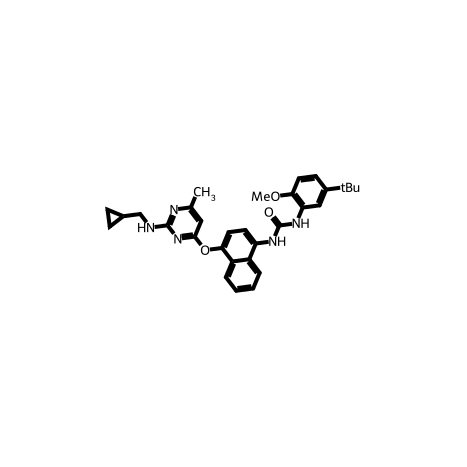 COc1ccc(C(C)(C)C)cc1NC(=O)Nc1ccc(Oc2cc(C)nc(NCC3CC3)n2)c2ccccc12